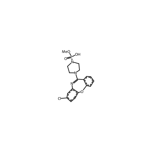 COP(=O)(O)N1CCN(C2=Nc3cc(Cl)ccc3Oc3ccccc32)CC1